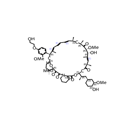 COc1cc(OCCO)ccc1[C@@H]1C[C@@H]2CC[C@@H](C)[C@@](OC)(O2)C(=O)C(=O)N2CCCC[C@H]2C(=O)O[C@H]([C@H](C)C[C@@H]2CC[C@@H](O)[C@H](OC)C2)CC(=O)[C@H](C)/C=C(\C)[C@@H](O)[C@@H](OC)C(=O)[C@H](C)C[C@H](C)/C=C/C=C/C=C/1C